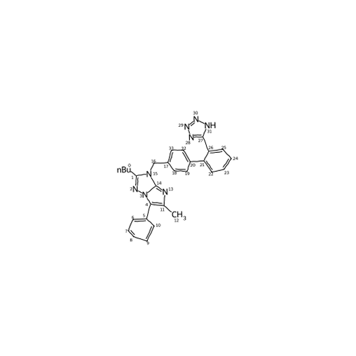 CCCCc1nn2c(-c3ccccc3)c(C)nc2n1Cc1ccc(-c2ccccc2-c2nnn[nH]2)cc1